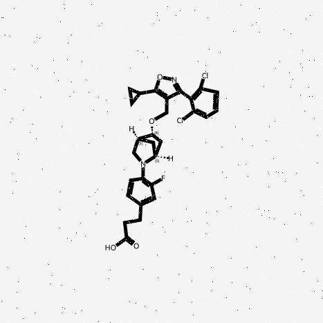 O=C(O)CCc1ccc(N2C[C@@H]3C[C@H]2C[C@H]3OCc2c(-c3c(Cl)cccc3Cl)noc2C2CC2)c(F)c1